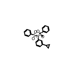 O=S(=O)(c1ccccc1)N(c1cccc(C2CC2)c1)S(=O)(=O)c1ccccc1